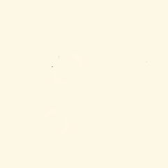 C=CCc1ccc(C2OCCO2)c(O[Si](C)(C)C(C)(C)C)c1OC